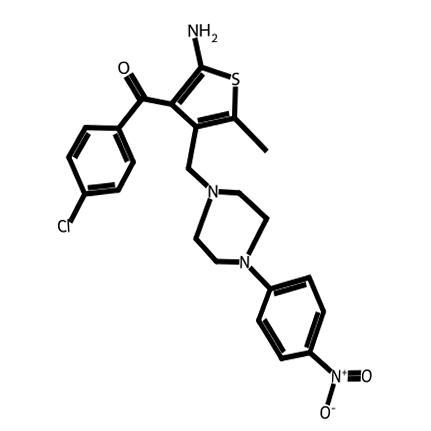 Cc1sc(N)c(C(=O)c2ccc(Cl)cc2)c1CN1CCN(c2ccc([N+](=O)[O-])cc2)CC1